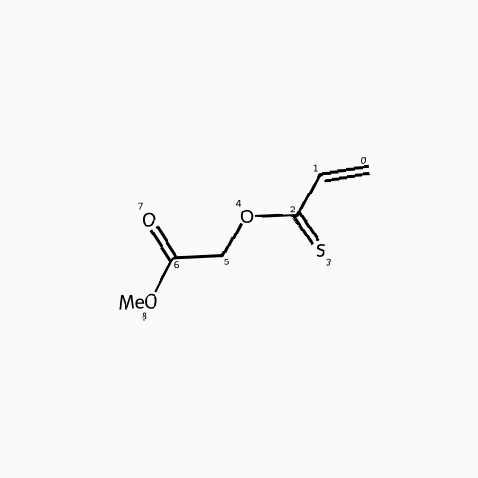 C=CC(=S)OCC(=O)OC